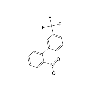 O=[N+]([O-])c1ccccc1-c1[c]ccc(C(F)(F)F)c1